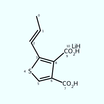 CC=Cc1scc(C(=O)O)c1C(=O)O.[LiH]